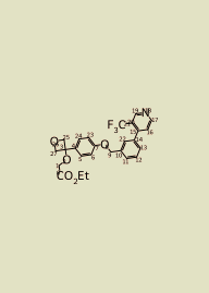 CCOC(=O)COC1(c2ccc(OCc3cccc(-c4ccncc4C(F)(F)F)c3)cc2)COC1